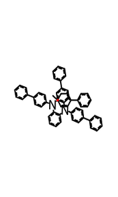 CC1(N(c2ccc(-c3ccccc3)cc2)c2ccccc2N(c2ccc(-c3ccccc3)cc2)c2ccc(-c3ccccc3)cc2)C=CC(c2ccccc2)=CC1